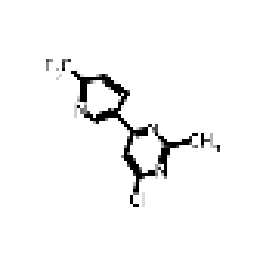 Cc1nc(Cl)cc(-c2ccc(C(F)(F)F)nc2)n1